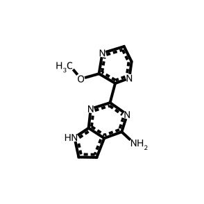 COc1nccnc1-c1nc(N)c2cc[nH]c2n1